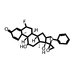 CC1C[C@H]2[C@@H]3CC(F)C4=CC(=O)C=C[C@]4(C)[C@H]3C(O)C[C@]2(C)[C@@]1(O)C1(Oc2ccccc2)CO1